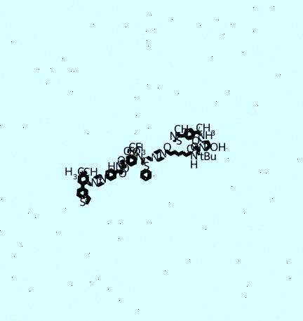 Cc1ncsc1-c1ccc([C@H](C)NC(=O)[C@@H]2C[C@@H](O)CN2C(=O)[C@@H](NC(=O)CCCCCC(=O)N2CCN(CC[C@H](CSc3ccccc3)Nc3ccc(S(=O)(=O)NC(=O)c4ccc(N5CCN(CC6=C(c7ccc8sccc8c7)CCC(C)(C)C6)CC5)cc4)cc3S(=O)(=O)C(F)(F)F)CC2)C(C)(C)C)cc1